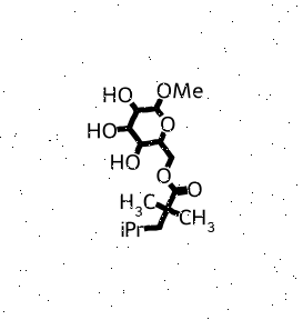 COC1OC(COC(=O)C(C)(C)CC(C)C)C(O)C(O)C1O